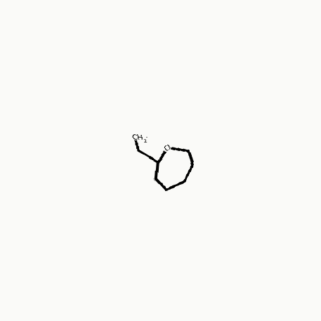 [CH2]CC1CCCCCO1